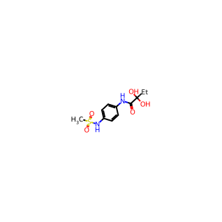 CCC(O)(O)C(=O)Nc1ccc(NS(C)(=O)=O)cc1